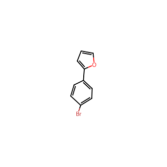 Brc1ccc(-c2ccco2)cc1